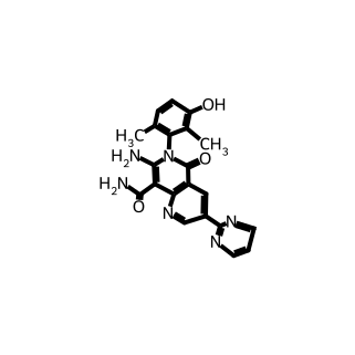 Cc1ccc(O)c(C)c1-n1c(N)c(C(N)=O)c2ncc(-c3ncccn3)cc2c1=O